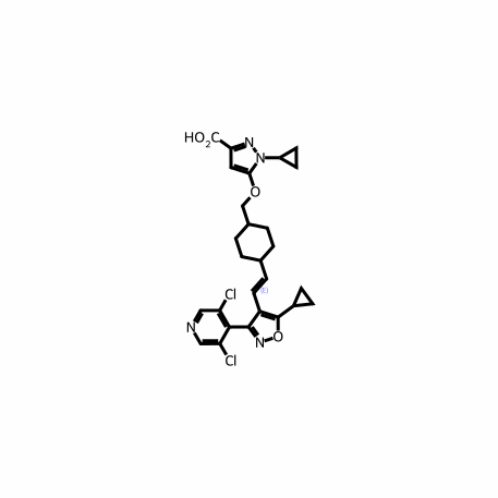 O=C(O)c1cc(OCC2CCC(/C=C/c3c(-c4c(Cl)cncc4Cl)noc3C3CC3)CC2)n(C2CC2)n1